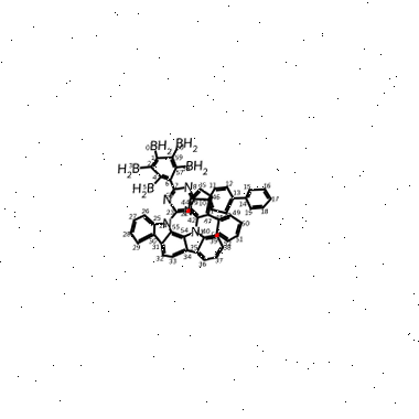 Bc1c(B)c(B)c(-c2nc(-c3ccc(-c4ccccc4)cc3)nc(-n3c4ccccc4c4ccc5c6ccccc6n(-c6ccccc6-c6ccccc6)c5c43)n2)c(B)c1B